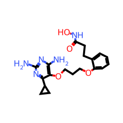 Nc1nc(N)c(OCCCOc2ccccc2CCC(=O)NO)c(C2CC2)n1